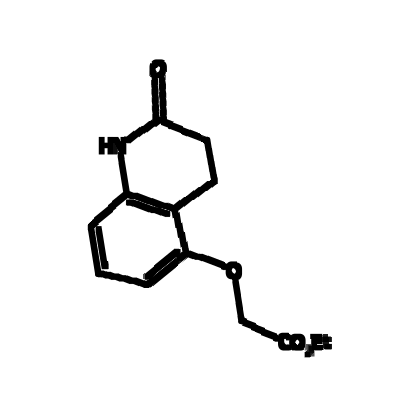 CCOC(=O)COc1cccc2c1CCC(=O)N2